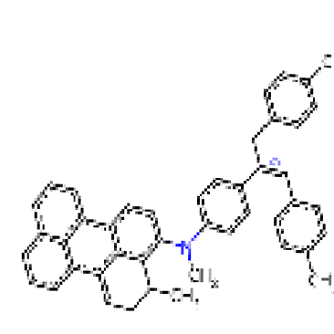 Cc1ccc(/C=C(/Cc2ccc(C)cc2)c2ccc(N(C)c3ccc4c5c3C(C)CC=c5c3cccc5cccc4c53)cc2)cc1